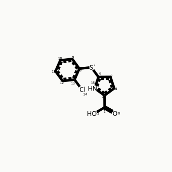 O=C(O)c1ccc(Sc2ccccc2Cl)[nH]1